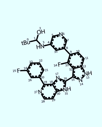 CC(C)(C)C(O)Nc1cncc(-c2ccc3[nH]nc(-c4nc5c(-c6cccc(F)c6)nccc5[nH]4)c3c2F)c1